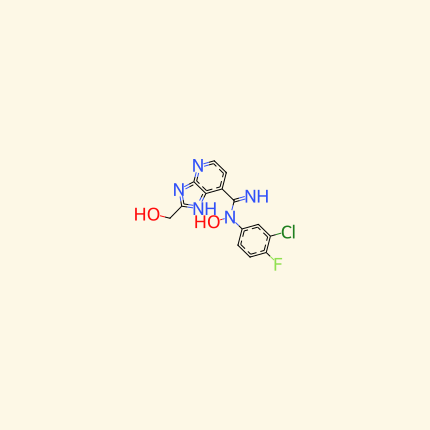 N=C(c1ccnc2nc(CO)[nH]c12)N(O)c1ccc(F)c(Cl)c1